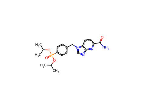 CC(C)OP(=O)(OC(C)C)c1ccc(Cn2cnc3nc(C(N)=O)ccc32)cc1